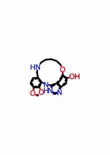 Oc1cc2ncnc3c2cc1OCCCCCNCc1ccc2c(c1N3)OCO2